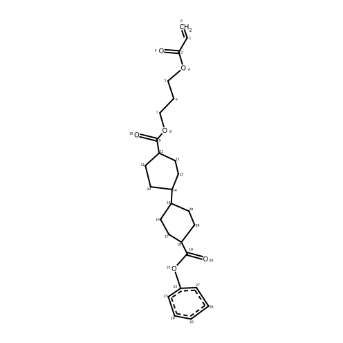 C=CC(=O)OCCCOC(=O)C1CCC(C2CCC(C(=O)Oc3ccccc3)CC2)CC1